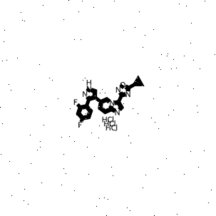 Cl.Cl.Cl.Fc1ccc(-c2n[nH]cc2-c2ccc3ncc(-c4noc(C5CC5)n4)n3c2)c(F)c1